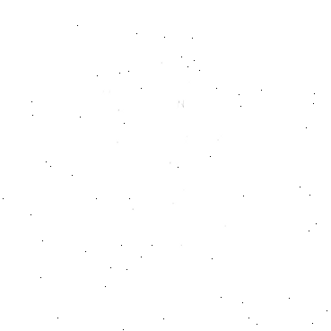 O=C(O)C1CCN1C(=O)OC12CC3CC(CC(C3)C1)C2